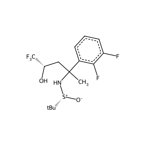 CC(C[C@H](O)C(F)(F)F)(N[S@+]([O-])C(C)(C)C)c1cccc(F)c1F